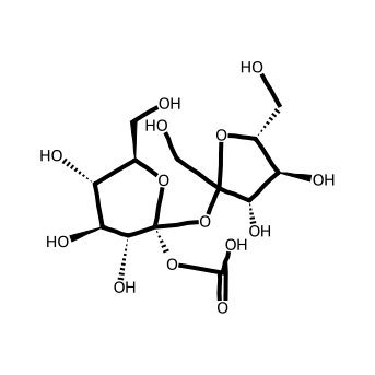 O=C(O)O[C@@]1(OC2(CO)O[C@H](CO)[C@@H](O)[C@@H]2O)O[C@H](CO)[C@@H](O)[C@H](O)[C@H]1O